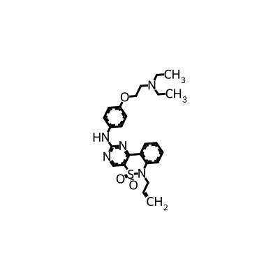 C=CCN1c2ccccc2-c2nc(Nc3ccc(OCCN(CC)CC)cc3)ncc2S1(=O)=O